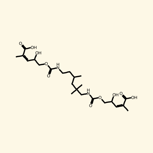 CC(=CC(O)COC(=O)NCCC(C)CC(C)(C)CNC(=O)OCC(O)C=C(C)C(=O)O)C(=O)O